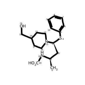 C[C@H](C[C@H](Sc1ccccc1)N1CCC(CO)CC1)NC(=O)O